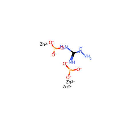 N=C(N)NN.[O-]P([O-])[O-].[O-]P([O-])[O-].[Zn+2].[Zn+2].[Zn+2]